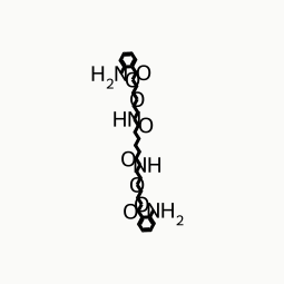 Nc1ccccc1C(=O)OCCOCCNC(=O)CCCCC(=O)NCCOCCOC(=O)c1ccccc1N